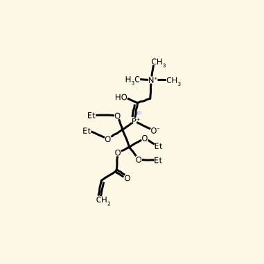 C=CC(=O)OC(OCC)(OCC)C(OCC)(OCC)/[P+]([O-])=C(\O)C[N+](C)(C)C